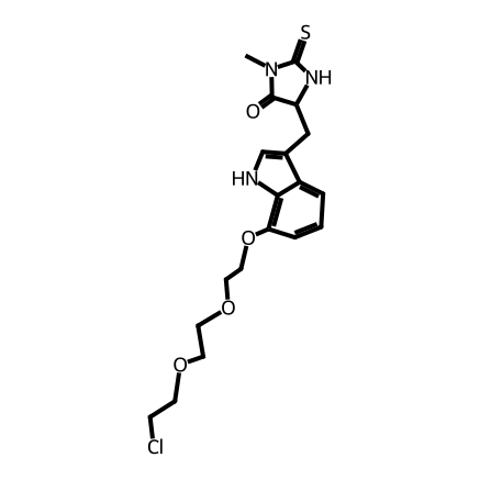 CN1C(=O)C(Cc2c[nH]c3c(OCCOCCOCCCl)cccc23)NC1=S